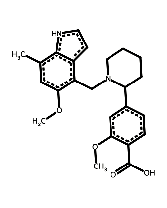 COc1cc(C2CCCCN2Cc2c(OC)cc(C)c3[nH]ccc23)ccc1C(=O)O